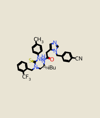 CC[C@H](C)[C@@H](CN(Cc1ccccc1C(F)(F)F)C(=S)Nc1ccc(C)cc1)NC(=O)Cc1cncn1Cc1ccc(C#N)cc1